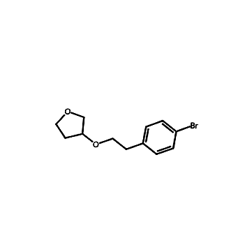 Brc1ccc(CCOC2CCOC2)cc1